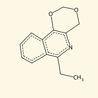 CCc1nc2c(c3ccccc13)OCOC2